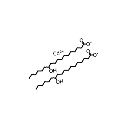 CCCCCCC(O)CCCCCCCCCCC(=O)[O-].CCCCCCC(O)CCCCCCCCCCC(=O)[O-].[Cd+2]